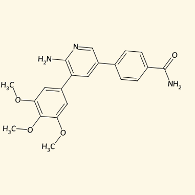 COc1cc(-c2cc(-c3ccc(C(N)=O)cc3)cnc2N)cc(OC)c1OC